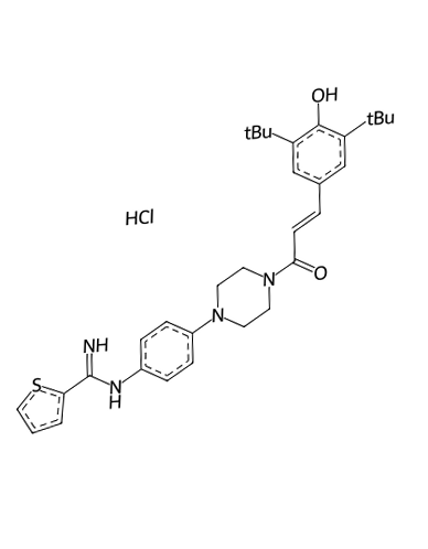 CC(C)(C)c1cc(/C=C/C(=O)N2CCN(c3ccc(NC(=N)c4cccs4)cc3)CC2)cc(C(C)(C)C)c1O.Cl